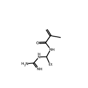 C=C(C)C(=O)NC(CC)NC(=N)N